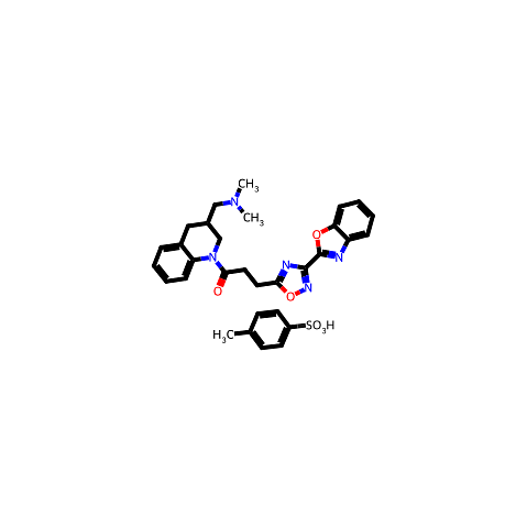 CN(C)CC1Cc2ccccc2N(C(=O)CCc2nc(-c3nc4ccccc4o3)no2)C1.Cc1ccc(S(=O)(=O)O)cc1